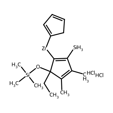 CCC1(O[Si](C)(C)C)C(C)=C(C)C([SiH3])=[C]1[Zr][C]1=CC=CC1.Cl.Cl